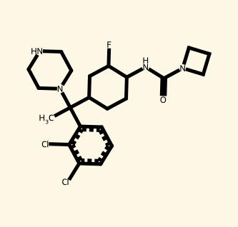 CC(c1cccc(Cl)c1Cl)(C1CCC(NC(=O)N2CCC2)C(F)C1)N1CCNCC1